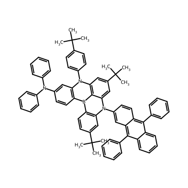 CC(C)(C)c1ccc(N2c3cc(N(c4ccccc4)c4ccccc4)ccc3B3c4ccc(C(C)(C)C)cc4N(c4ccc5c(-c6ccccc6)c6ccccc6c(-c6ccccc6)c5c4)c4cc(C(C)(C)C)cc2c43)cc1